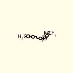 CC1CCC(C2CCC(/C=C/C3CCC(C(F)(F)Oc4ccc(OC(F)(F)F)c(F)c4)CC3)CC2)CC1